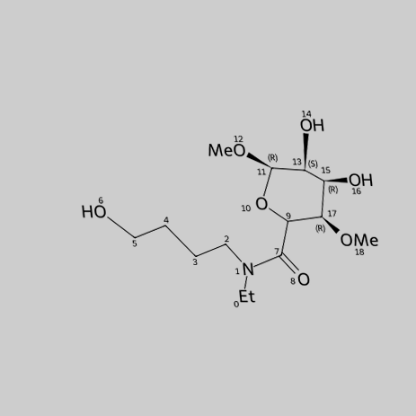 CCN(CCCCO)C(=O)C1O[C@@H](OC)[C@@H](O)[C@@H](O)[C@H]1OC